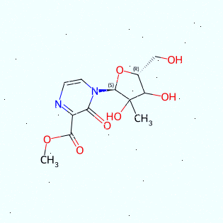 COC(=O)c1nccn([C@H]2O[C@H](CO)C(O)C2(C)O)c1=O